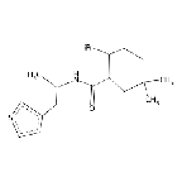 CC(Cc1ccsc1)NC(=O)C1CC(C)(C)CCC1C(C)C